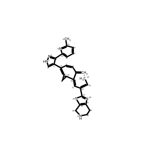 C=C1\C=C/C(c2c[nH]nc2-c2cccc(C)n2)=C/C=C/C1=C/C(=C\C)c1nc2c(s1)CNCC2